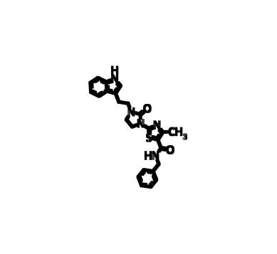 Cc1nc(N2CCN(CCc3c[nH]c4ccccc34)C2=O)sc1C(=O)NCc1ccccc1